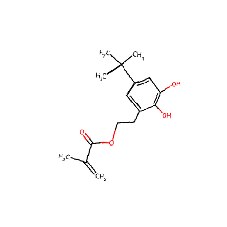 C=C(C)C(=O)OCCc1cc(C(C)(C)C)cc(O)c1O